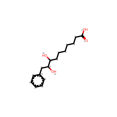 O=C(O)CCCCCCC(O)C(O)Cc1ccccc1